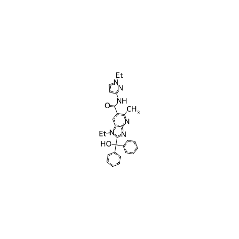 CCn1ccc(NC(=O)c2cc3c(nc2C)nc(C(O)(c2ccccc2)c2ccccc2)n3CC)n1